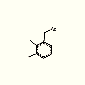 CC(=O)Cc1[c]ccc(C)c1C